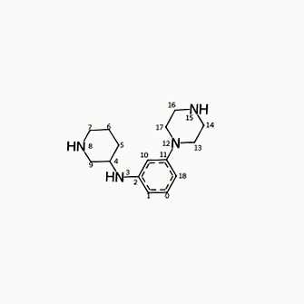 c1cc(NC2CCCNC2)cc(N2CCNCC2)c1